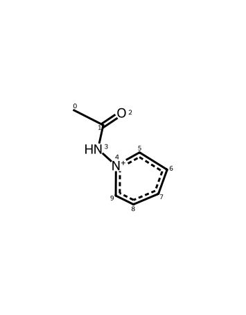 CC(=O)N[n+]1ccccc1